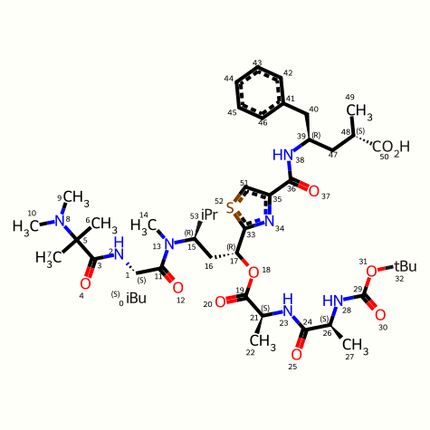 CC[C@H](C)[C@H](NC(=O)C(C)(C)N(C)C)C(=O)N(C)[C@H](C[C@@H](OC(=O)[C@H](C)NC(=O)[C@H](C)NC(=O)OC(C)(C)C)c1nc(C(=O)N[C@@H](Cc2ccccc2)C[C@H](C)C(=O)O)cs1)C(C)C